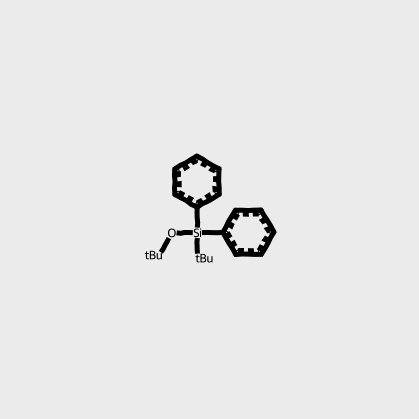 CC(C)(C)O[Si](c1ccccc1)(c1ccccc1)C(C)(C)C